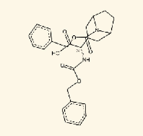 O=C(N[C@H](C(=O)O)C1CC2CCC(C1)N2C(=O)OCc1ccccc1)OCc1ccccc1